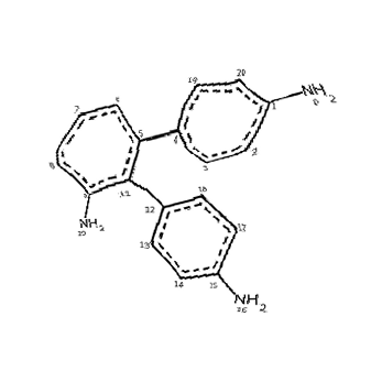 Nc1ccc(-c2cccc(N)c2-c2ccc(N)cc2)cc1